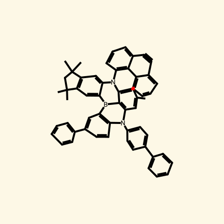 Cc1cc2c3c(c1)N(c1cccc4c#cc5ccccc5c14)c1cc4c(cc1B3c1cc(-c3ccccc3)ccc1N2c1ccc(-c2ccccc2)cc1)C(C)(C)CC4(C)C